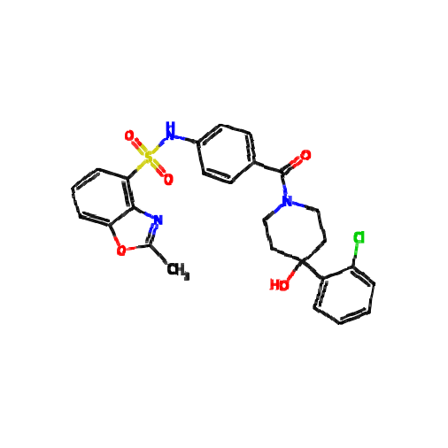 Cc1nc2c(S(=O)(=O)Nc3ccc(C(=O)N4CCC(O)(c5ccccc5Cl)CC4)cc3)cccc2o1